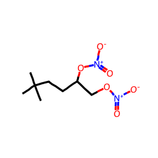 CC(C)(C)CCC(CO[N+](=O)[O-])O[N+](=O)[O-]